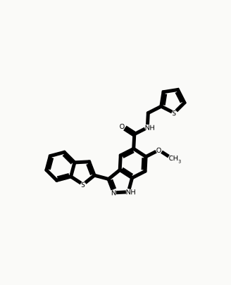 COc1cc2[nH]nc(-c3cc4ccccc4s3)c2cc1C(=O)NCc1cccs1